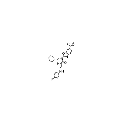 COC(=O)c1ccc2nc(N(CCC3CCCCC3)C(=O)NCCNc3ccc(F)cc3)oc2c1